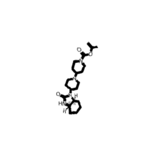 C=C(C)OC(=O)N1CCC(N2CCC(N3C(=O)N[C@H]4CCCC[C@@H]43)CC2)CC1